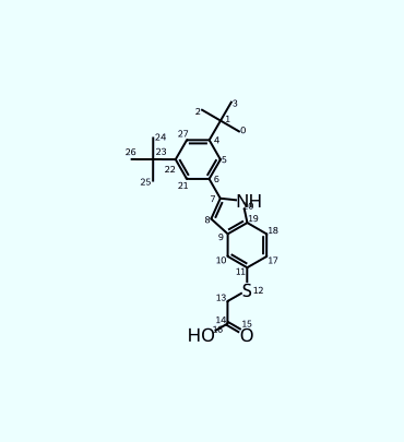 CC(C)(C)c1cc(-c2cc3cc(SCC(=O)O)ccc3[nH]2)cc(C(C)(C)C)c1